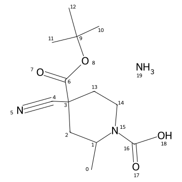 CC1CC(C#N)(C(=O)OC(C)(C)C)CCN1C(=O)O.N